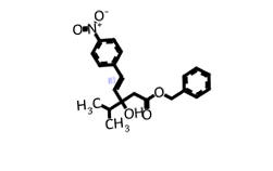 CC(C)C(O)(/C=C/c1ccc([N+](=O)[O-])cc1)CC(=O)OCc1ccccc1